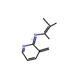 C=C1C=CC=N/C1=N/C(C)=C(C)C